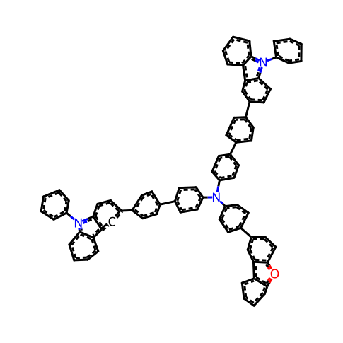 c1ccc(-n2c3ccccc3c3cc(-c4ccc(-c5ccc(N(c6ccc(-c7ccc(-c8ccc9c(c8)c8ccccc8n9-c8ccccc8)cc7)cc6)c6ccc(-c7ccc8oc9ccccc9c8c7)cc6)cc5)cc4)ccc32)cc1